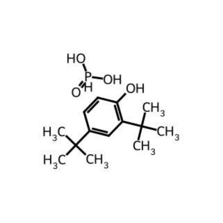 CC(C)(C)c1ccc(O)c(C(C)(C)C)c1.O=[PH](O)O